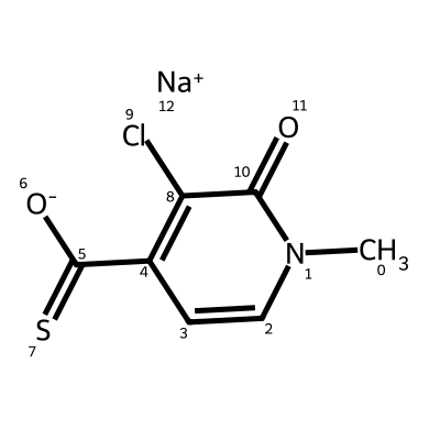 Cn1ccc(C([O-])=S)c(Cl)c1=O.[Na+]